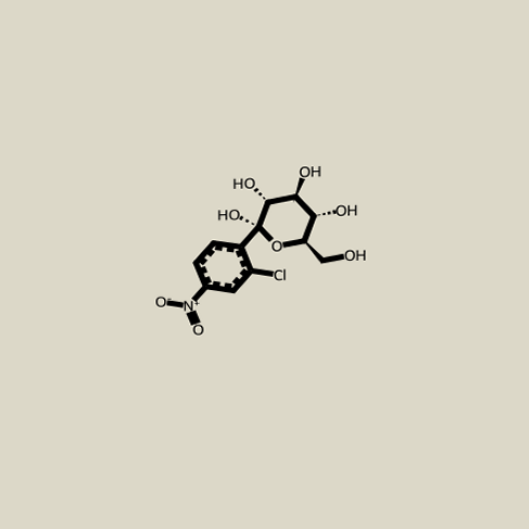 O=[N+]([O-])c1ccc([C@]2(O)O[C@H](CO)[C@@H](O)[C@H](O)[C@H]2O)c(Cl)c1